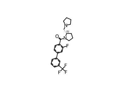 O=C(c1ccc(-c2cccc(C(F)(F)F)c2)cc1F)N1CCC[C@H]1CN1CCCC1